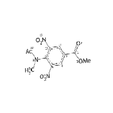 COC(=O)c1cc([N+](=O)[O-])c(N(C)C(C)=O)c([N+](=O)[O-])c1